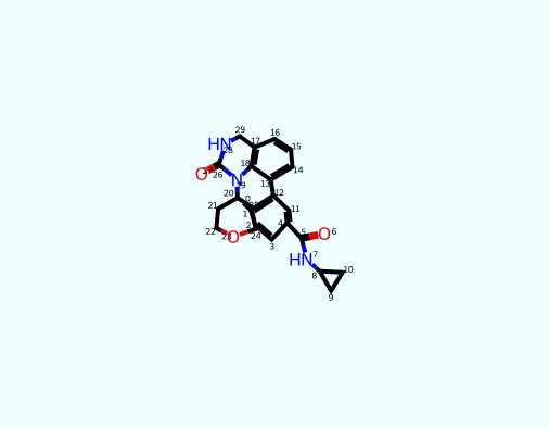 Cc1ccc(C(=O)NC2CC2)cc1-c1cccc2c1N(C1CCOCC1)C(=O)NC2